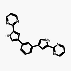 c1cnc(-c2cc(-c3cccc(-c4c[nH]c(-c5ncccn5)c4)c3)c[nH]2)nc1